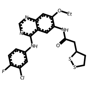 CCOc1cc2ncnc(Nc3ccc(F)c(Cl)c3)c2cc1NC(=O)CC1CCSS1